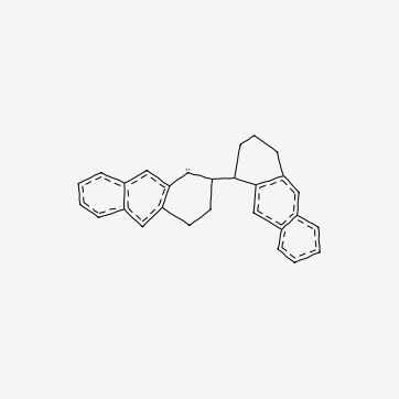 [C]1c2cc3ccccc3cc2CCC1C1CCCc2cc3ccccc3cc21